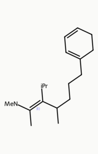 CN/C(C)=C(\C(C)C)C(C)CCCC1=CC=CCC1